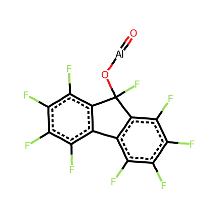 [O]=[Al][O]C1(F)c2c(F)c(F)c(F)c(F)c2-c2c(F)c(F)c(F)c(F)c21